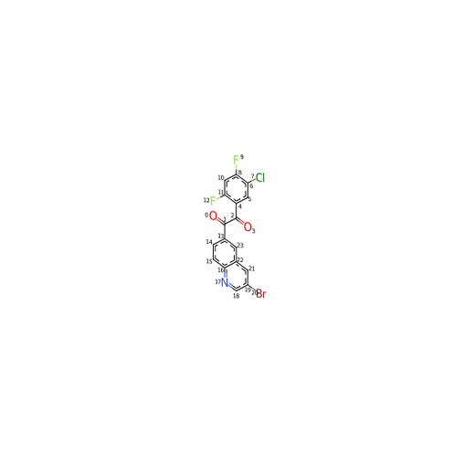 O=C(C(=O)c1cc(Cl)c(F)cc1F)c1ccc2ncc(Br)cc2c1